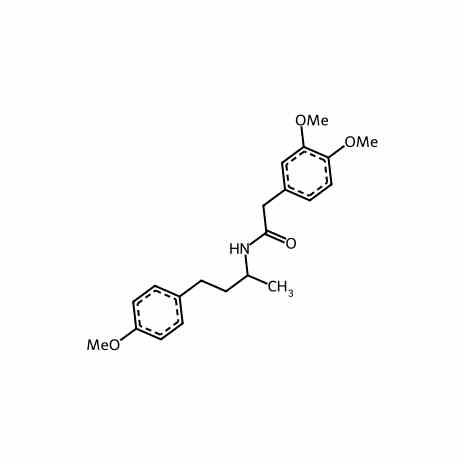 COc1ccc(CCC(C)NC(=O)Cc2ccc(OC)c(OC)c2)cc1